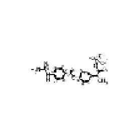 C[C@@H](C(=O)OS(C)(=O)=O)c1ccc(OC(=O)c2ccc(NC(=N)N)cc2)cc1